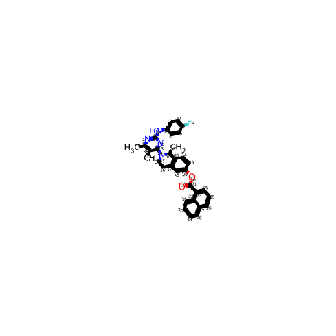 Cc1nc(Nc2ccc(F)cc2)nc(N2CCc3cc(OC(=O)c4cccc5ccccc45)ccc3C2C)c1C